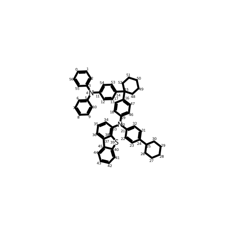 c1ccc(N(c2ccccc2)c2ccc(C3(c4ccc(N(c5ccc(C6CCCCC6)cc5)c5cccc6c5sc5ccccc56)cc4)CCCCC3)cc2)cc1